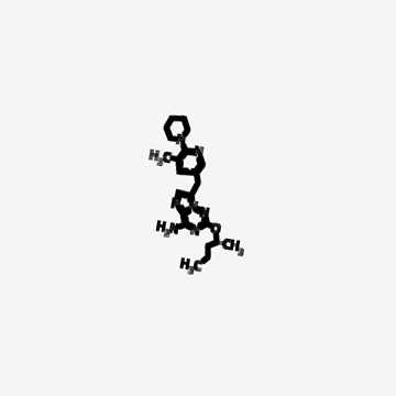 CCC[C@@H](C)Oc1nc(N)c2ncc(Cc3cnc(N4CCCCC4)c(C)c3)n2n1